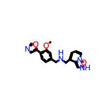 COc1cc(CNCC2=CC=CN3ONC=C23)ccc1-c1cnco1